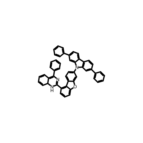 C1=CC2=C(c3ccccc3)N=C(c3cccc4oc5cc(-n6c7cc(-c8ccccc8)ccc7c7ccc(-c8ccccc8)cc76)ccc5c34)NC2C=C1